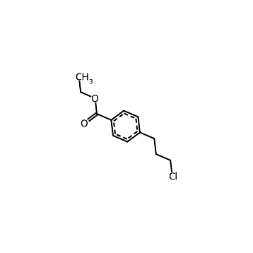 CCOC(=O)c1ccc(CCCCl)cc1